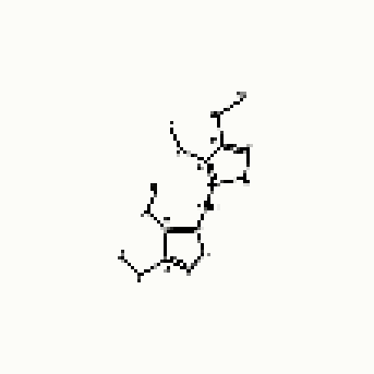 CCC1=CC[C]([Ru][C]2=C(CC)C(CC)=CC2)=C1CC